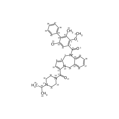 COc1c(C(=O)N2Cc3ccc(C(=O)N4CCN(C(C)C)CC4)n3Cc3ccccc32)cc(Cl)c(-c2ccccc2)c1C